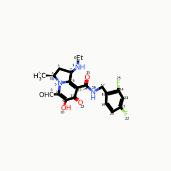 CCNC1C[C@H](C)n2c(C=O)c(O)c(=O)c(C(=O)NCc3ccc(F)cc3F)c21